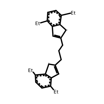 CCc1ccc(CC)c2c1[CH]C(CCCC1=Cc3c(CC)ccc(CC)c3[CH]1)=C2